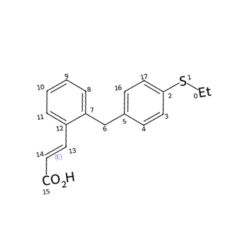 CCSc1ccc(Cc2ccccc2/C=C/C(=O)O)cc1